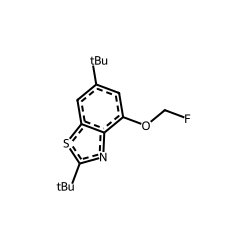 CC(C)(C)c1cc(OCF)c2nc(C(C)(C)C)sc2c1